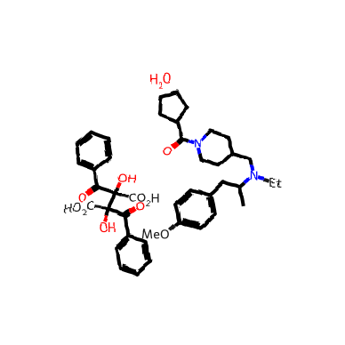 CCN(CC1CCN(C(=O)C2CCCC2)CC1)C(C)Cc1ccc(OC)cc1.O.O=C(O)C(O)(C(=O)c1ccccc1)C(O)(C(=O)O)C(=O)c1ccccc1